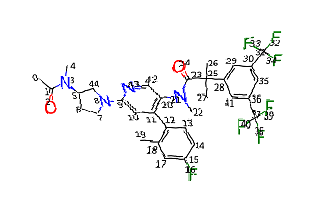 CC(=O)N(C)[C@@H]1CCN(c2cc(-c3ccc(F)cc3C)c(N(C)C(=O)C(C)(C)c3cc(C(F)(F)F)cc(C(F)(F)F)c3)cn2)C1